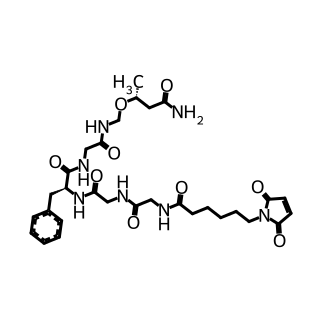 C[C@H](CC(N)=O)OCNC(=O)CNC(=O)[C@H](Cc1ccccc1)NC(=O)CNC(=O)CNC(=O)CCCCCN1C(=O)C=CC1=O